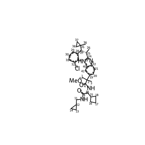 COCC(C)(C(=O)N[C@@H](C(=O)NCC1CC1)C1CCC1)c1ccc2nc(C(C)[C@H](c3cccc(Cl)c3)C3(C)CC3)[nH]c2c1